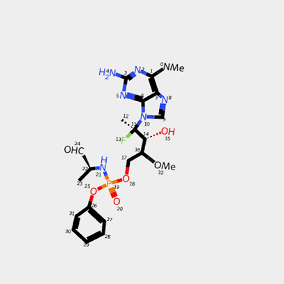 CNc1nc(N)nc2c1ncn2[C@](C)(F)[C@H](O)C(COP(=O)(N[C@@H](C)C=O)Oc1ccccc1)OC